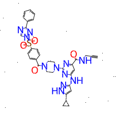 C#CCNC(=O)c1cc(Nc2cc(C3CC3)[nH]n2)nc(N2CCN(C(=O)c3ccc(S(=O)(=O)n4cnc(-c5ccccc5)n4)cc3)CC2)n1